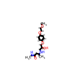 CNC(=O)CC(C)NCC(O)COc1ccc(OCCOC)cc1